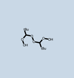 CC(C)(C)C(OO)OOC(OO)C(C)(C)C